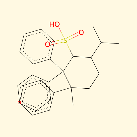 CC(C)C1CCC(C)(c2ccccc2)C(c2ccccc2)(c2ccccc2)C1S(=O)(=O)O